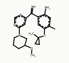 COC1CCCN(c2cc(C(=N)c3cc(OC4(C)CC4)c(F)cc3N)ncn2)C1